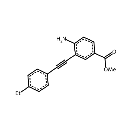 CCc1ccc(C#Cc2cc(C(=O)OC)ccc2N)cc1